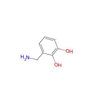 NCc1cc[c]c(O)c1O